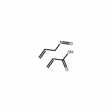 C=CC(=O)O.C=CCN=O